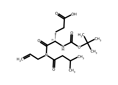 C=CCN(C(=O)CC(C)C)C(=O)[C@H](CCC(=O)O)NC(=O)OC(C)(C)C